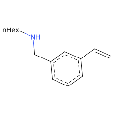 C=Cc1cccc(CNCCCCCC)c1